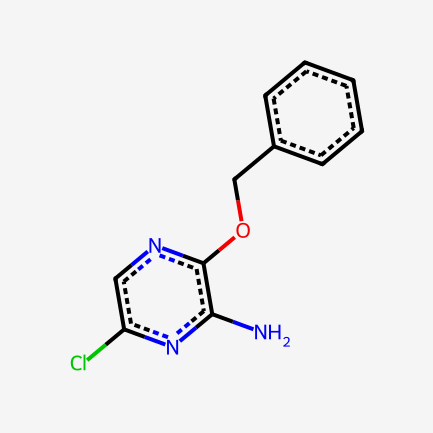 Nc1nc(Cl)cnc1OCc1ccccc1